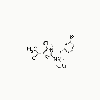 CC(=O)c1sc(N2CCOC[C@@H]2Cc2cccc(Br)c2)nc1C